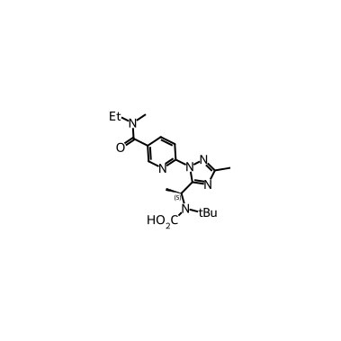 CCN(C)C(=O)c1ccc(-n2nc(C)nc2[C@H](C)N(C(=O)O)C(C)(C)C)nc1